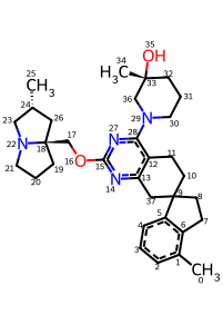 Cc1cccc2c1CCC21CCc2c(nc(OC[C@@]34CCCN3C[C@H](C)C4)nc2N2CCC[C@@](C)(O)C2)C1